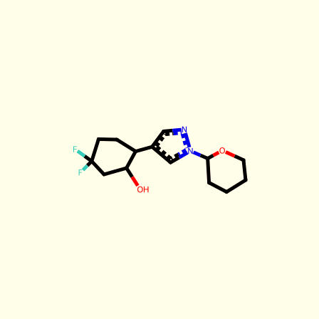 OC1CC(F)(F)CCC1c1cnn(C2CCCCO2)c1